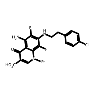 CC(C)n1cc(C(=O)O)c(=O)c2c(N)c(F)c(NCCc3ccc(Cl)cc3)c(F)c21